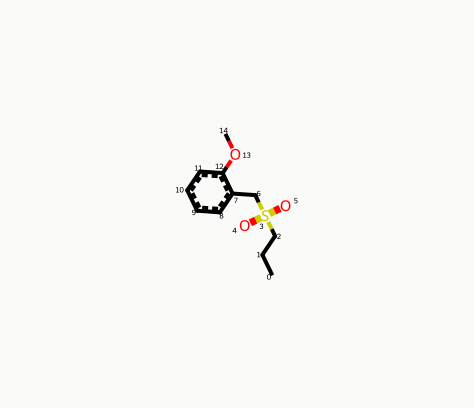 CCCS(=O)(=O)Cc1ccccc1OC